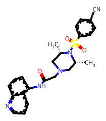 C[C@@H]1CN(CC(=O)Nc2cccc3ncccc23)C[C@H](C)N1S(=O)(=O)c1ccc(C#N)cc1